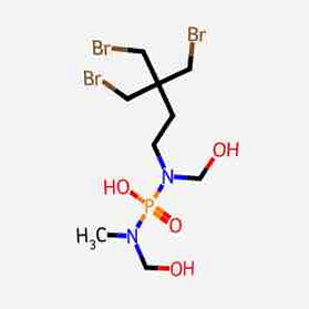 CN(CO)P(=O)(O)N(CO)CCC(CBr)(CBr)CBr